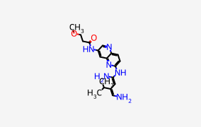 COCCC(=O)Nc1cnc2ccc(N/C(N)=C/C(=C\N)C(C)C)nc2c1